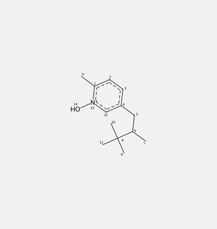 Cc1ccc(CC(C)C(C)(C)C)c[n+]1O